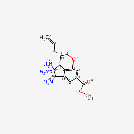 C=CC[C@@H]1COc2cc(C(=O)OC)cc3c2C1C(N)(N)C3N